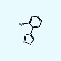 O=[N+]([O-])c1ccccc1-c1csnn1